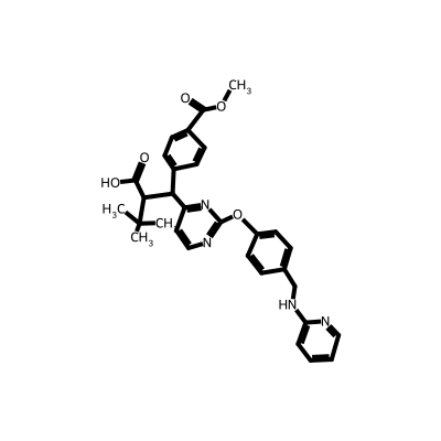 COC(=O)c1ccc(C(c2ccnc(Oc3ccc(CNc4ccccn4)cc3)n2)C(C(=O)O)C(C)(C)C)cc1